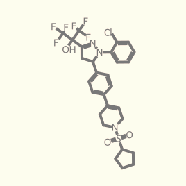 O=S(=O)(C1CCCC1)N1CC=C(c2ccc(C3CC(C(O)(C(F)(F)F)C(F)(F)F)=NN3c3ccccc3Cl)cc2)CC1